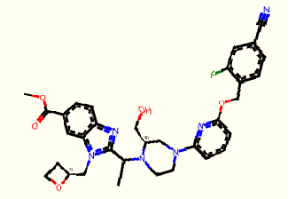 COC(=O)c1ccc2nc(C(C)N3CCN(c4cccc(OCc5ccc(C#N)cc5F)n4)C[C@@H]3CO)n(C[C@@H]3CCO3)c2c1